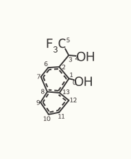 Oc1c(C(O)C(F)(F)F)ccc2ccccc12